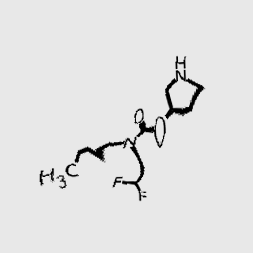 CCCCN(CC(F)F)C(=O)OC1CCNC1